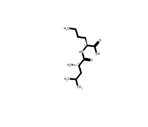 CCCC[C@H](NC(=O)[C@@H](N)CC(C)C)C(=O)O